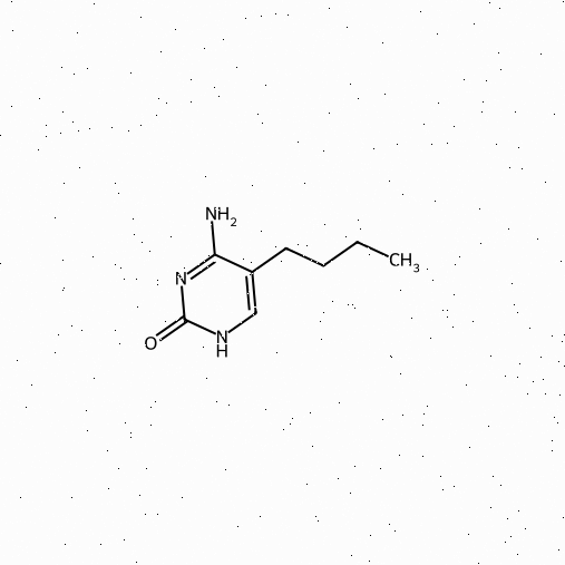 CCCCc1c[nH]c(=O)nc1N